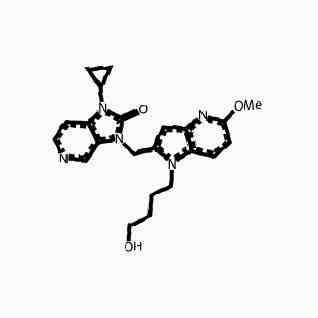 COc1ccc2c(cc(Cn3c(=O)n(C4CC4)c4ccncc43)n2CCCCO)n1